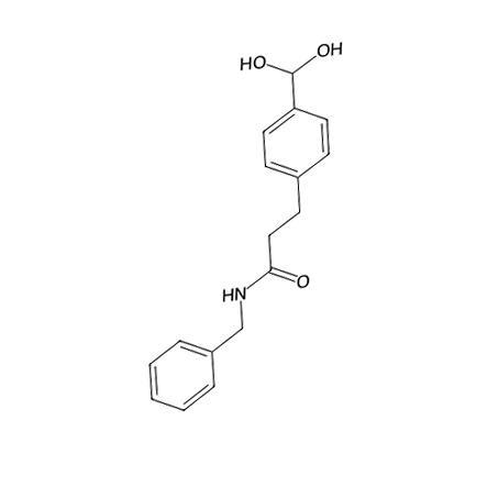 O=C(CCc1ccc(C(O)O)cc1)NCc1ccccc1